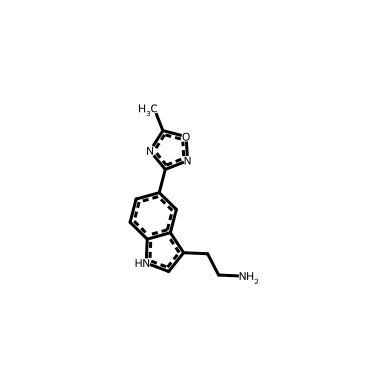 Cc1nc(-c2ccc3[nH]cc(CCN)c3c2)no1